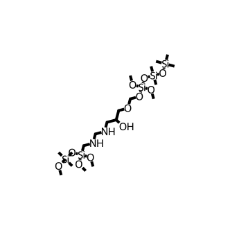 CO[Si](C)(C)O[Si](CNCNCC(O)COCO[Si](OC)(OC)O[Si](C)(C)O[Si](C)(C)C)(OC)OC